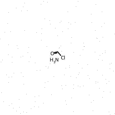 N.O=CCl